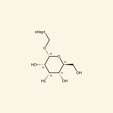 CCCCCCCCO[C@@H]1O[C@@H](CO)[C@H](O)[C@H](S)[C@@H]1O